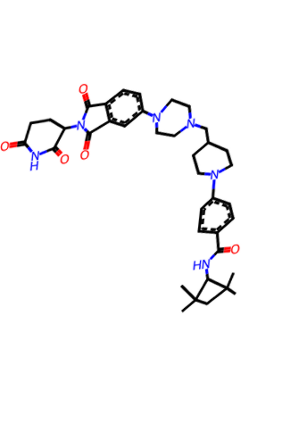 CC1(C)CC(C)(C)C1NC(=O)c1ccc(N2CCC(CN3CCN(c4ccc5c(c4)C(=O)N(C4CCC(=O)NC4=O)C5=O)CC3)CC2)cc1